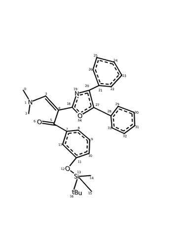 CN(C)/C=C(\C(=O)c1cccc(O[Si](C)(C)C(C)(C)C)c1)c1nc(-c2ccccc2)c(-c2ccccc2)o1